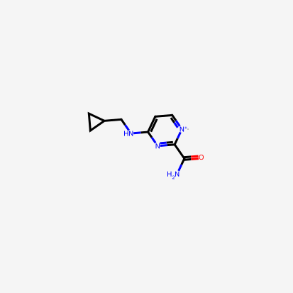 NC(=O)C1=NC(NCC2CC2)=CC=[N+]1